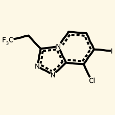 FC(F)(F)Cc1nnc2c(Cl)c(I)ccn12